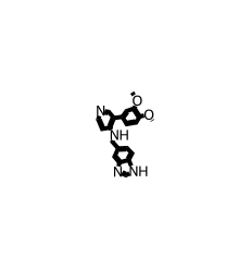 COc1ccc(-c2cnccc2NCc2ccc3[nH]cnc3c2)cc1OC